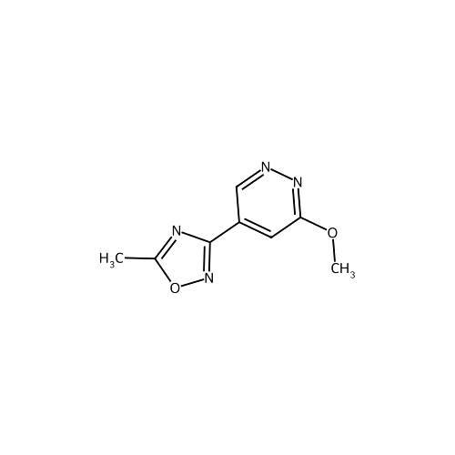 COc1cc(-c2noc(C)n2)cnn1